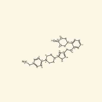 CCc1cnc(N2CCC(c3nc(COc4ccccc4C4COS(=O)OC4)cs3)CC2)nc1